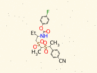 CCC(CS(=O)(=O)C(C)S(=O)(=O)C(C)c1ccc(C#N)cc1)NC(=O)Oc1ccc(F)cc1